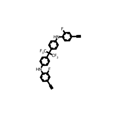 C#Cc1ccc(Nc2ccc(C(c3ccc(Nc4ccc(C#C)cc4F)cc3)(C(F)(F)F)C(F)(F)F)cc2)c(F)c1